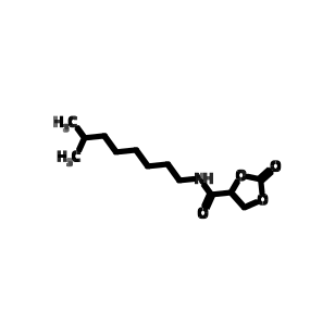 CC(C)CCCCCCNC(=O)C1COC(=O)O1